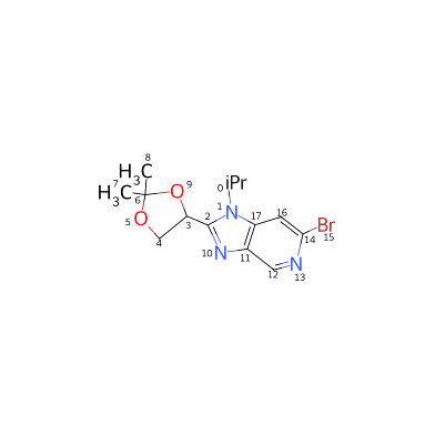 CC(C)n1c(C2COC(C)(C)O2)nc2cnc(Br)cc21